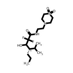 CCC[C@@H](C(C)C)C(O)C(F)(F)C(=O)NCCN1CCS(=O)(=O)CC1